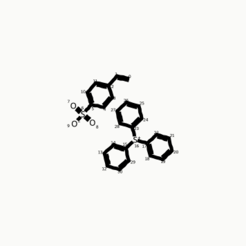 C=Cc1ccc(S(=O)(=O)[O-])cc1.c1ccc([S+](c2ccccc2)c2ccccc2)cc1